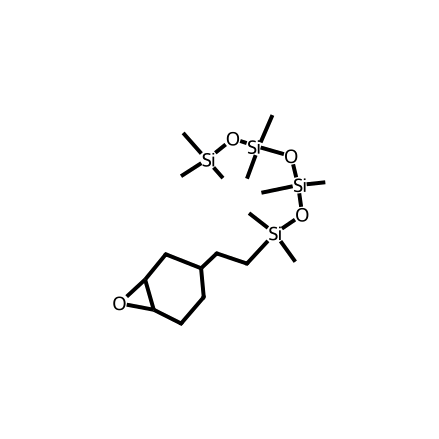 C[Si](C)(C)O[Si](C)(C)O[Si](C)(C)O[Si](C)(C)CCC1CCC2OC2C1